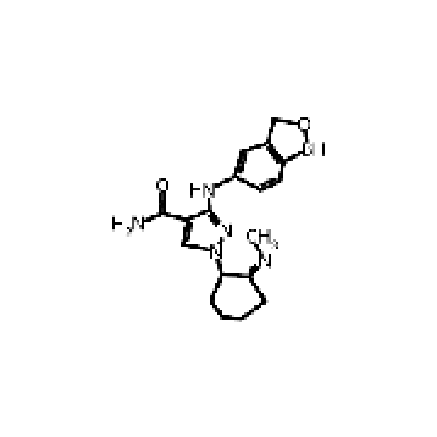 C/N=C1/CCCCC1n1cc(C(N)=O)c(Nc2ccc3c(c2)COB3)n1